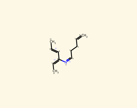 C=CCC\C=N/C(=C\C)/C=C/C